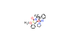 COc1ccccc1C1([C@H]2CCCN2c2cc(C)c3ccccc3n2)SC(=O)N(C)C1=O